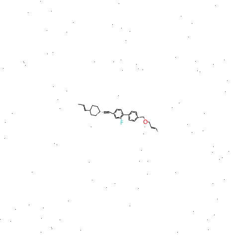 CC=CCOCc1ccc(-c2ccc(C#C[C@H]3CC[C@H](C=CC)CC3)cc2F)cc1